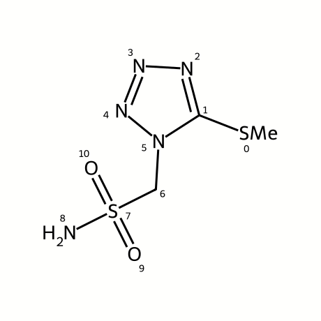 [CH2]Sc1nnnn1CS(N)(=O)=O